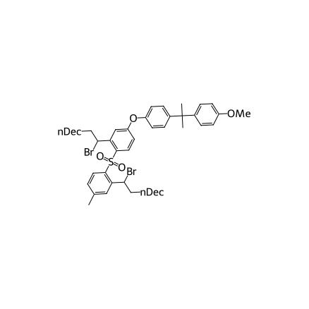 CCCCCCCCCCCC(Br)c1cc(C)ccc1S(=O)(=O)c1ccc(Oc2ccc(C(C)(C)c3ccc(OC)cc3)cc2)cc1C(Br)CCCCCCCCCCC